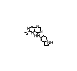 CSc1ncc2ncnc(Nc3ccc4[nH]ccc4c3)c2n1